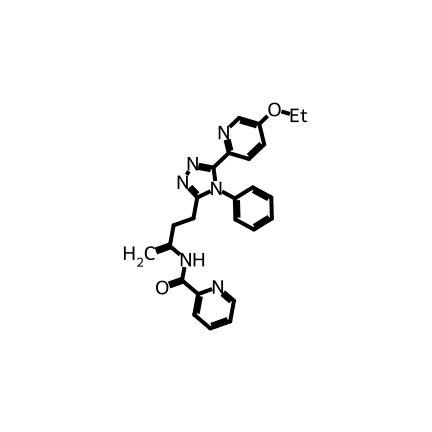 C=C(CCc1nnc(-c2ccc(OCC)cn2)n1-c1ccccc1)NC(=O)c1ccccn1